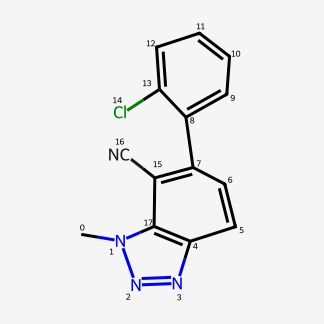 Cn1nnc2ccc(-c3ccccc3Cl)c(C#N)c21